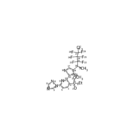 CCS(=O)(=O)c1ccc(-n2cncn2)nc1-c1ncc([C@H](C)C(F)(F)C(F)(F)C(F)(F)C(F)(F)F)n1C